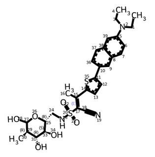 CCN(CC)c1ccc2cc(-c3ccc(/C(C)=C(\C#N)S(=O)(=O)NC[C@H]4OC(O)[C@H](C)[C@@H](O)[C@@H]4O)s3)ccc2c1